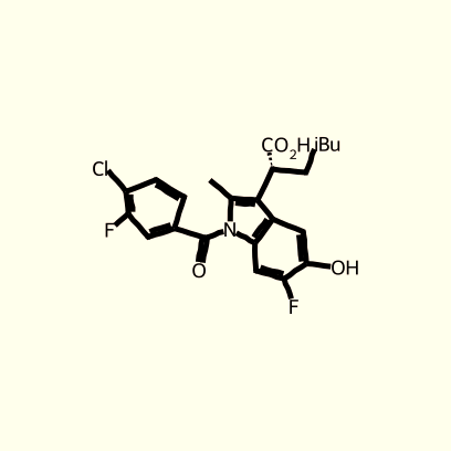 CCC(C)C[C@@H](C(=O)O)c1c(C)n(C(=O)c2ccc(Cl)c(F)c2)c2cc(F)c(O)cc12